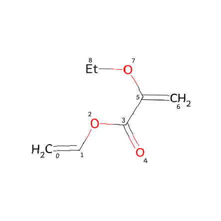 C=COC(=O)C(=C)OCC